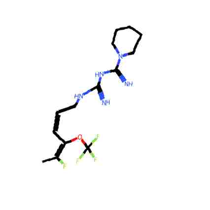 C/C(F)=C(\C=C/CNC(=N)NC(=N)N1CCCCC1)OC(F)(F)F